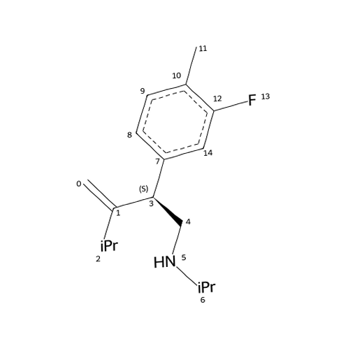 C=C(C(C)C)[C@H](CNC(C)C)c1ccc(C)c(F)c1